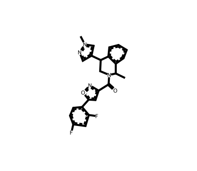 CC1c2ccccc2C(c2cnn(C)c2)CN1C(=O)c1cc(-c2ccc(F)cc2F)on1